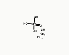 O=P(O)(O)O.[AlH3].[InH3].[LiH]